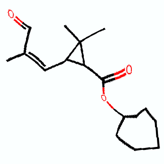 CC(C=O)=CC1C(C(=O)OC2CCCCC2)C1(C)C